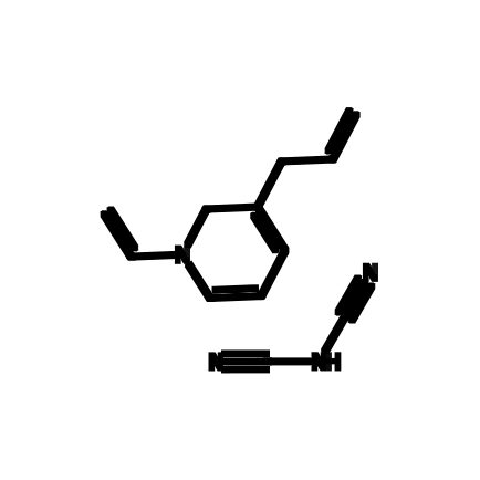 C=CCC1=CC=CN(C=C)C1.N#CNC#N